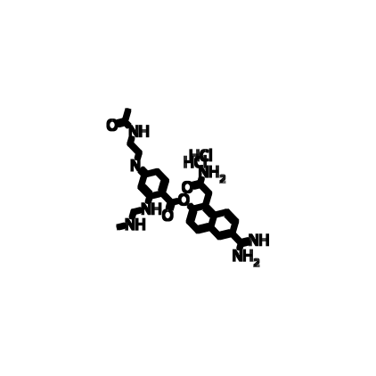 CNCNC1=CC(=NCCNC(C)=O)CC=C1C(=O)Oc1ccc2cc(C(=N)N)ccc2c1CC(N)=O.Cl.Cl